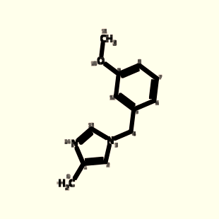 [CH2]c1cn(Cc2cccc(OC)c2)cn1